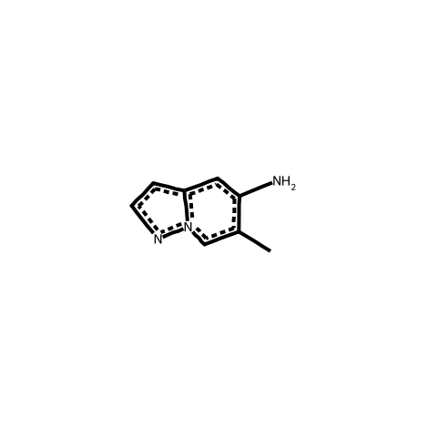 Cc1cn2nccc2cc1N